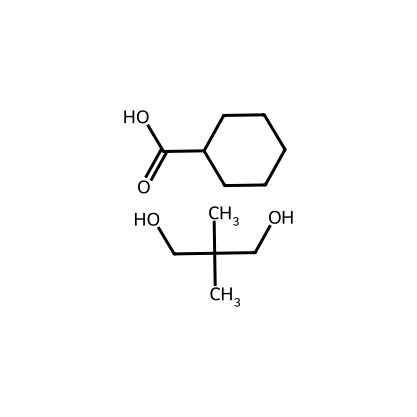 CC(C)(CO)CO.O=C(O)C1CCCCC1